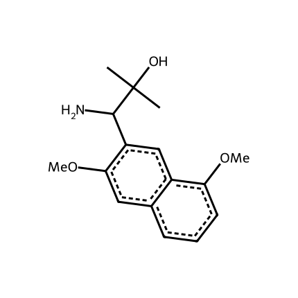 COc1cc2cccc(OC)c2cc1C(N)C(C)(C)O